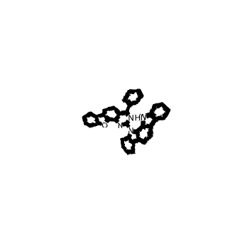 c1ccc(-c2nc(-n3c4ccccc4c4ccc5c6ccccc6[nH]c5c43)nc3c2ccc2c4ccccc4oc23)cc1